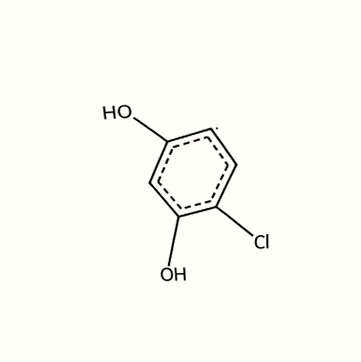 Oc1[c]cc(Cl)c(O)c1